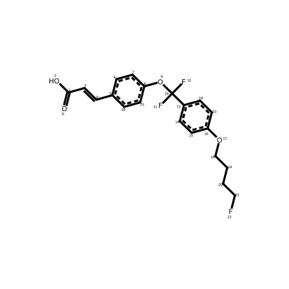 O=C(O)C=Cc1ccc(OC(F)(F)c2ccc(OCCCCF)cc2)cc1